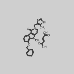 Cc1[nH]cnc1CN1CCc2c(c3cccc(OCc4ccccc4)c3n2C)C1=O.O=C(O)C=CC(=O)O